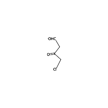 O=[C]CC(=O)CCl